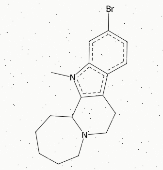 Cn1c2c(c3ccc(Br)cc31)CCN1CCCCCC21